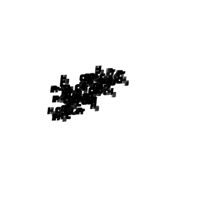 CC(C)CC(C)OP(=S)(OC(C)CC(C)C)SCC(C)OP(=S)(OC(C)CSP(=S)(OC(C)CC(C)C)OC(C)CC(C)C)SCC(C)OP(=S)(S)OC(C)SP(=S)(OC(C)CSP(=S)(OC(C)CC(C)C)OC(C)CC(C)C)OC(C)CSP(=S)(OC(C)CC(C)C)OC(C)CC(C)C